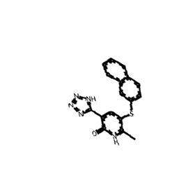 Cc1[nH]c(=O)c(-c2nnn[nH]2)cc1Sc1ccc2ccccc2c1